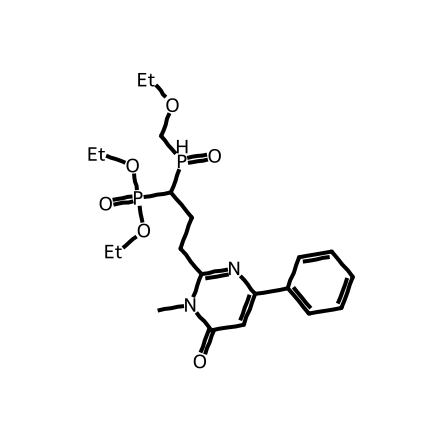 CCOC[PH](=O)C(CCc1nc(-c2ccccc2)cc(=O)n1C)P(=O)(OCC)OCC